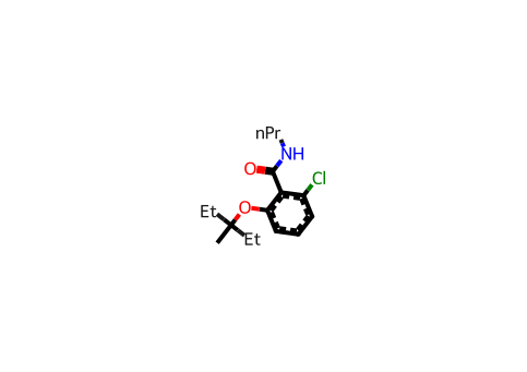 CCCNC(=O)c1c(Cl)cccc1OC(C)(CC)CC